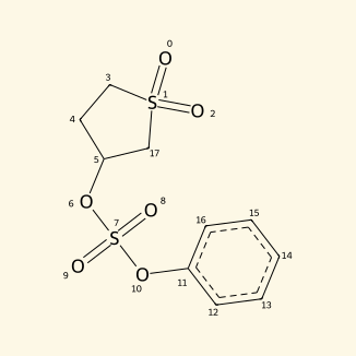 O=S1(=O)CCC(OS(=O)(=O)Oc2ccccc2)C1